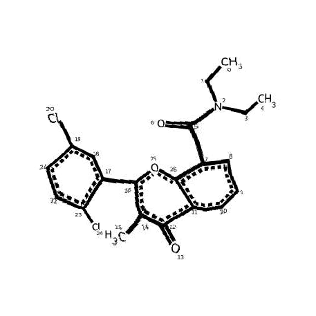 CCN(CC)C(=O)c1cccc2c(=O)c(C)c(-c3cc(Cl)ccc3Cl)oc12